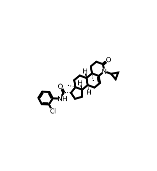 C[C@]12CC[C@H]3[C@@H](CC=C4N(C5CC5)C(=O)CC[C@@]43C)[C@@H]1CC[C@@H]2C(=O)Nc1ccccc1Cl